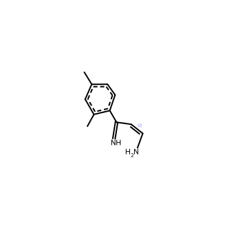 Cc1ccc(C(=N)/C=C\N)c(C)c1